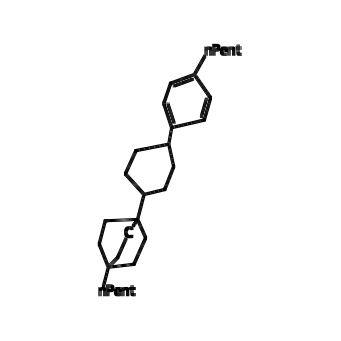 CCCCCc1ccc(C2CCC(C34CCC(CCCCC)(CC3)CC4)CC2)cc1